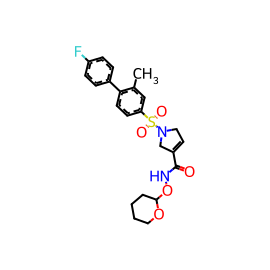 Cc1cc(S(=O)(=O)N2CC=C(C(=O)NOC3CCCCO3)C2)ccc1-c1ccc(F)cc1